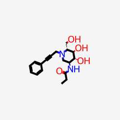 CCC(=O)N[C@H]1CN(CC#Cc2ccccc2)[C@H](CO)[C@@H](O)[C@@H]1O